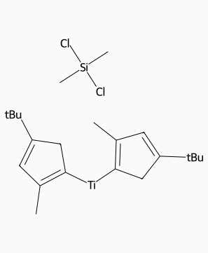 CC1=[C]([Ti][C]2=C(C)C=C(C(C)(C)C)C2)CC(C(C)(C)C)=C1.C[Si](C)(Cl)Cl